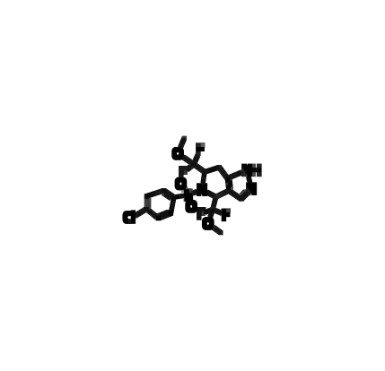 COC(F)(F)C1Cc2[nH]ncc2C(C(F)(F)OC)N1S(=O)(=O)c1ccc(Cl)cc1